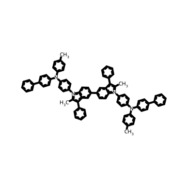 Cc1ccc(N(c2ccc(-c3ccccc3)cc2)c2ccc(-n3c(C)c(-c4ccccc4)c4cc(-c5ccc6c(c5)c(-c5ccccc5)c(C)n6-c5ccc(N(c6ccc(C)cc6)c6ccc(-c7ccccc7)cc6)cc5)ccc43)cc2)cc1